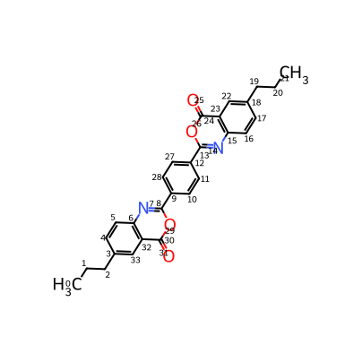 CCCc1ccc2nc(-c3ccc(-c4nc5ccc(CCC)cc5c(=O)o4)cc3)oc(=O)c2c1